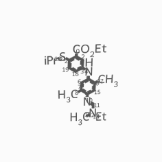 CCOC(=O)c1cc(Nc2cc(C)c(/N=C/N(C)CC)cc2C)ccc1SC(C)C